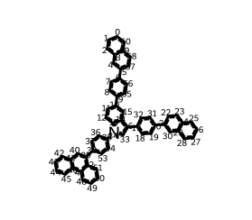 c1ccc2cc(-c3ccc(-c4ccc5c(c4)c(-c4ccc(-c6ccc7ccccc7c6)cc4)cn5-c4ccc(-c5cc6ccccc6c6ccccc56)cc4)cc3)ccc2c1